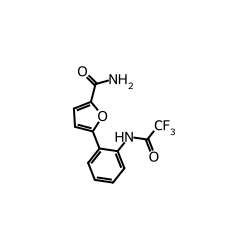 NC(=O)c1ccc(-c2ccccc2NC(=O)C(F)(F)F)o1